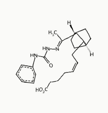 CC(=NNC(=O)Nc1ccccc1)C1C(C/C=C\CCCC(=O)O)[C@H]2CC[C@H]1CC2